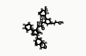 COCCN1CC(NC(=O)Nc2c(C)c(-c3cnc4c(c3)COC4)nn2-c2ccccc2)C(c2cncc(F)c2)C1